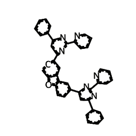 c1ccc(-c2cc(-c3ccc4oc5ccc(-c6cc(-c7ccccc7)nc(-c7ccccn7)n6)cc5c4c3)nc(-c3ccccn3)n2)cc1